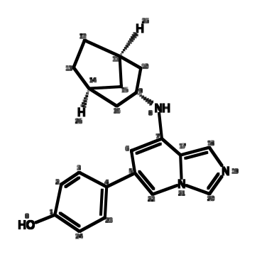 Oc1ccc(-c2cc(N[C@H]3C[C@@H]4CC[C@@H](C4)C3)c3cncn3c2)cc1